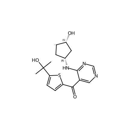 CC(C)(O)c1ccc(C(=O)c2cncnc2N[C@@H]2C[CH][C@H](O)C2)s1